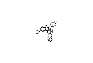 CN1CCN(c2nc3ccc(Cl)cc3c3nc(Cc4cccs4)nn23)CC1